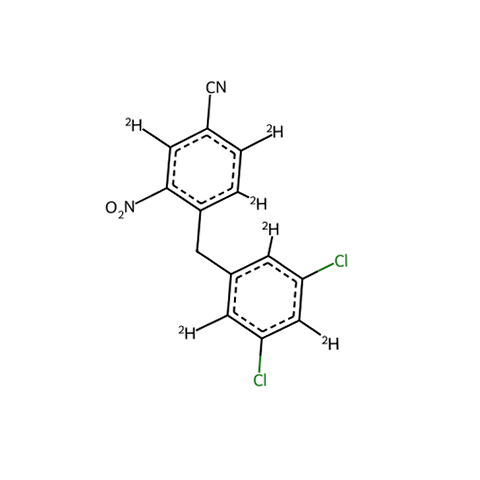 [2H]c1c(Cl)c([2H])c(Cc2c([2H])c([2H])c(C#N)c([2H])c2[N+](=O)[O-])c([2H])c1Cl